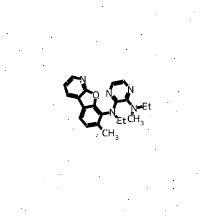 CCN(C)c1nccnc1N(CC)c1c(C)ccc2c1oc1ncccc12